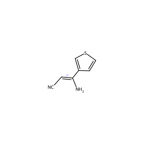 N#C/C=C(\N)c1ccsc1